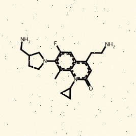 Cc1c(N2CCC(CN)C2)c(F)cc2c(CCN)cc(=O)n(C3CC3)c12